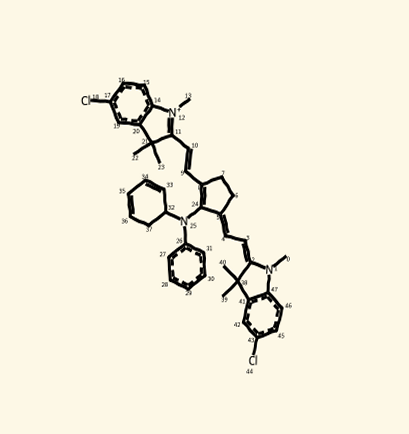 CN1/C(=C/C=C2\CCC(/C=C/C3=[N+](C)c4ccc(Cl)cc4C3(C)C)=C2N(c2ccccc2)C2C=CC=CC2)C(C)(C)c2cc(Cl)ccc21